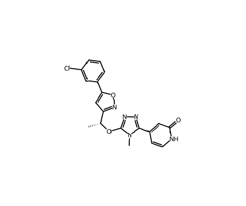 C[C@@H](Oc1nnc(-c2cc[nH]c(=O)c2)n1C)c1cc(-c2cccc(Cl)c2)on1